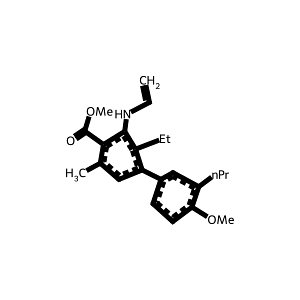 C=CNc1c(CC)c(-c2ccc(OC)c(CCC)c2)cc(C)c1C(=O)OC